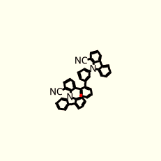 N#Cc1cccc(-c2ccccc2-c2cccc(-n3c4ccccc4c4cccc(C#N)c43)c2)c1-n1c2ccccc2c2ccccc21